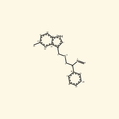 C=NC(CSCc1c[nH]c2ccc(C)nc12)c1ccccc1